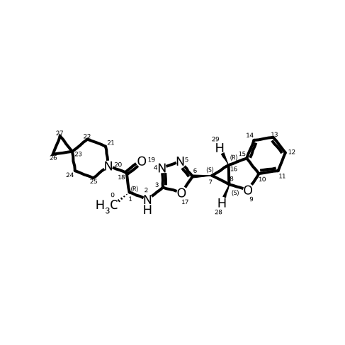 C[C@@H](Nc1nnc([C@@H]2[C@H]3Oc4ccccc4[C@H]32)o1)C(=O)N1CCC2(CC1)CC2